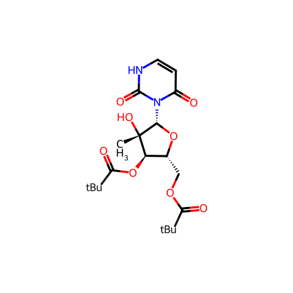 CC(C)(C)C(=O)OC[C@H]1O[C@@H](n2c(=O)cc[nH]c2=O)[C@@](C)(O)[C@@H]1OC(=O)C(C)(C)C